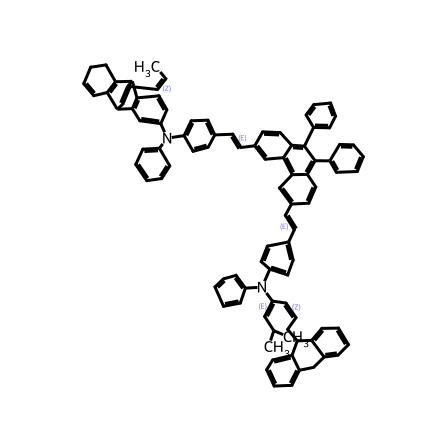 C/C=C\C1=CC2C3=C(CCC=C3)C1c1ccc(N(c3ccccc3)c3ccc(/C=C/c4ccc5c(-c6ccccc6)c(-c6ccccc6)c6ccc(/C=C/c7ccc(N(C(/C=C\CC8c9ccccc9Cc9ccccc98)=C/C(C)C)c8ccccc8)cc7)cc6c5c4)cc3)cc12